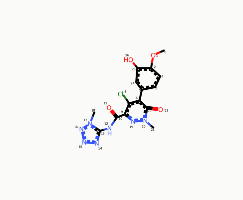 COc1ccc(-c2c(Cl)c(C(=O)Nc3nnnn3C)nn(C)c2=O)cc1O